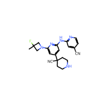 CC1(F)CN(c2cc(C3(C#N)CCNCC3)cc(Nc3cc(C#N)ccn3)n2)C1